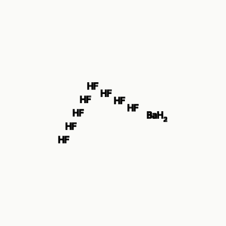 F.F.F.F.F.F.F.F.[BaH2]